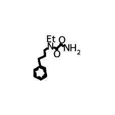 CCN(CCCc1ccccc1)C(=O)C(N)=O